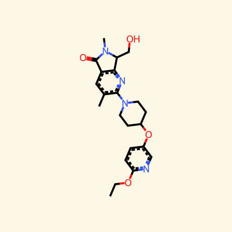 CCOc1ccc(OC2CCN(c3nc4c(cc3C)C(=O)N(C)C4CO)CC2)cn1